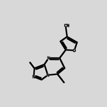 Cc1ncn2c(C)cc(-c3cc(C#N)co3)nc12